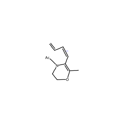 C=C/C=C\C1=C(C)OCCN1C(C)=O